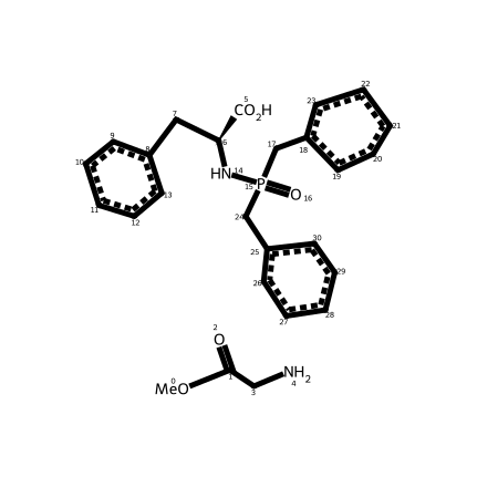 COC(=O)CN.O=C(O)[C@H](Cc1ccccc1)NP(=O)(Cc1ccccc1)Cc1ccccc1